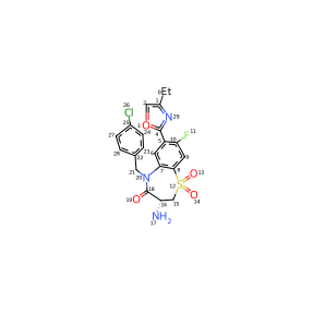 CCc1coc(-c2cc3c(cc2F)S(=O)(=O)C[C@H](N)C(=O)N3Cc2ccc(Cl)cc2)n1